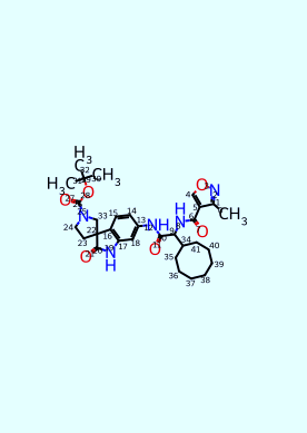 Cc1nocc1C(=O)NC(C(=O)Nc1ccc2c(c1)NC(=O)C21CCN(C(=O)OC(C)(C)C)C1)C1CCCCCCC1